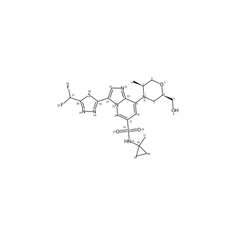 C[C@H]1CO[C@@H](CO)CN1c1cc(S(=O)(=O)NC2(C)CC2)cn2c(-c3nnc(C(F)F)s3)cnc12